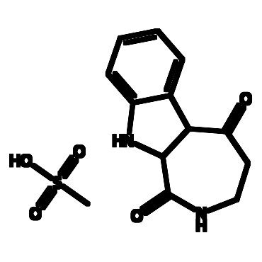 CS(=O)(=O)O.O=C1NCCC(=O)C2c3ccccc3NC12